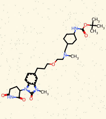 CN(CCOCCCc1ccc2c(c1)n(C)c(=O)n2C1CCC(=O)NC1=O)CC1CCC(NC(=O)OC(C)(C)C)CC1